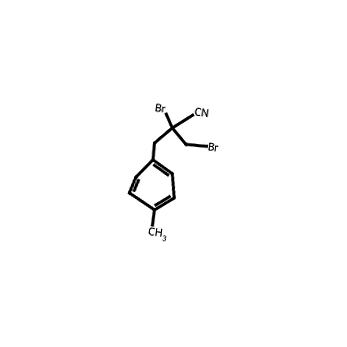 Cc1ccc(CC(Br)(C#N)CBr)cc1